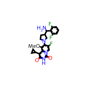 COc1c(N2CCC(C(N)c3c(F)cccc3F)C2)c(F)cn2c(=O)[nH]c(=O)c(C3CC3)c12